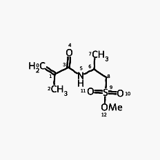 C=C(C)C(=O)NC(C)CS(=O)(=O)OC